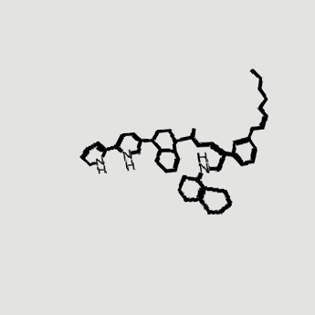 CCCCC/C=C\Cc1cccc(/C(=C/CC(C)C2CCC(C3=CC=C(C4=CC=CCN4)NC3)C3CCC=CC23)CNC2CCCC3=C2CCCC3)c1